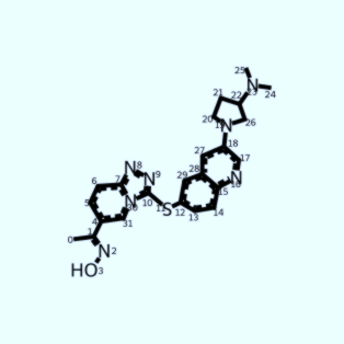 CC(=NO)c1ccc2nnc(Sc3ccc4ncc(N5CCC(N(C)C)C5)cc4c3)n2c1